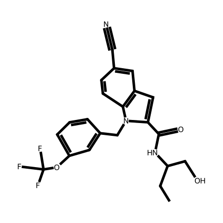 CCC(CO)NC(=O)c1cc2cc(C#N)ccc2n1Cc1cccc(OC(F)(F)F)c1